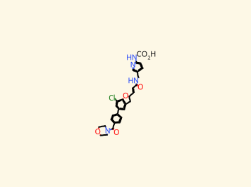 O=C(O)Nc1ccc(CNC(=O)/C=C/C2Cc3cc(-c4ccc(C(=O)N5CCOCC5)cc4)cc(Cl)c3O2)cn1